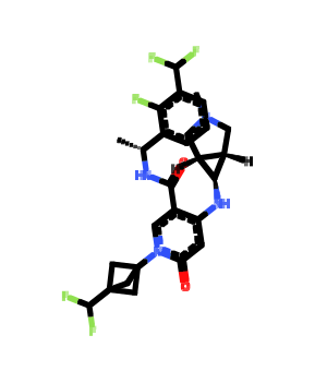 C[C@@H](NC(=O)c1cn(C23CC(C(F)F)(C2)C3)c(=O)cc1N[C@H]1[C@@H]2CN(C)C[C@@H]21)c1cccc(C(F)F)c1F